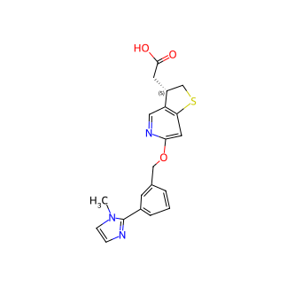 Cn1ccnc1-c1cccc(COc2cc3c(cn2)[C@H](CC(=O)O)CS3)c1